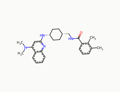 Cc1cccc(C(=O)NC[C@H]2CC[C@@H](Nc3cc(N(C)C)c4ccccc4n3)CC2)c1C